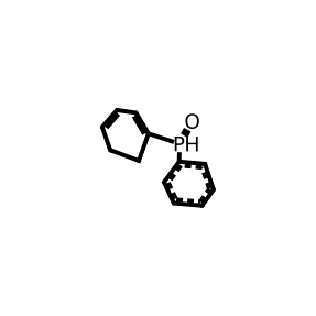 O=[PH](C1=CC=CCC1)c1ccccc1